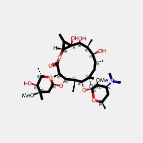 CO[C@H]1[C@H](O[C@@H]2[C@@H](C)[C@H](O[C@H]3C[C@@](C)(OC)[C@@H](O)[C@H](C)O3)[C@@H](C)C(=O)O[C@@H]3C(C)[C@]3(O)[C@H](O)[C@@H](C)[C@@H](O)[C@H](C)C[C@]2(C)OC)O[C@H](C)C[C@@H]1N(C)C